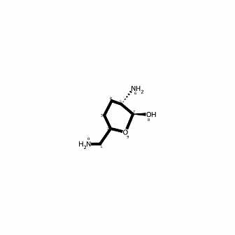 NCC1CC[C@H](N)[C@@H](O)O1